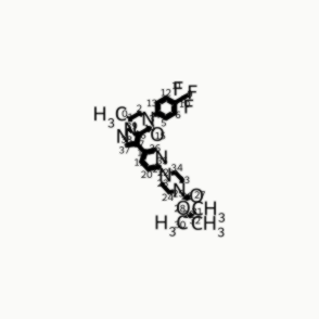 C[C@H]1CN(c2ccc(C(F)(F)F)cc2)C(=O)c2c(-c3ccc(N4CCN(C(=O)OC(C)(C)C)CC4)nc3)cnn21